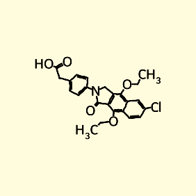 CCOc1c2c(c(OCC)c3ccc(Cl)cc13)C(=O)N(c1ccc(CC(=O)O)cc1)C2